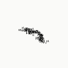 COC(=O)N[C@H](C(=O)N1CCCC1c1ncc(-c2ccc(-c3ccc(-c4cnc([C@@H]5CCCN5C(=O)[C@@H](NC(=O)O)[C@H](C)O)[nH]4)cc3)cc2)[nH]1)[C@H](C)O